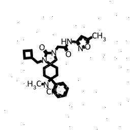 Cc1cc(NC(=O)CN2CC3(CCC(c4ccccc4)(N(C)C)CC3)N(CC3CCC3)C2=O)no1